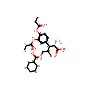 CCC(=O)Oc1ccc(C(C(C)COC(=O)C2CCCCC2)[C@H](N)C(=O)O)cc1OC(=O)CC